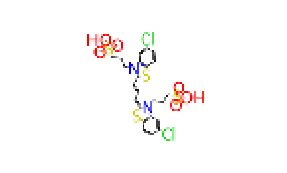 O=S(=O)(O)CCCN1/C(=C\C=C\c2sc3ccc(Cl)cc3[n+]2CCCS(=O)(=O)O)Sc2ccc(Cl)cc21